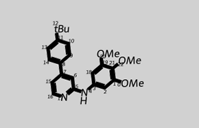 COc1cc(Nc2cc(-c3ccc(C(C)(C)C)cc3)ccn2)cc(OC)c1OC